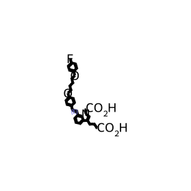 O=C(O)CCCc1cn(CC(=O)O)c2c(/C=C/c3ccc(OCCCCOc4ccc(F)cc4)cc3)cccc12